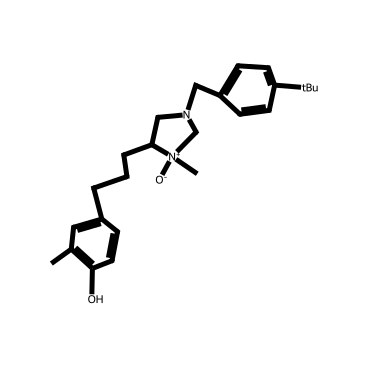 Cc1cc(CCCC2CN(Cc3ccc(C(C)(C)C)cc3)C[N+]2(C)[O-])ccc1O